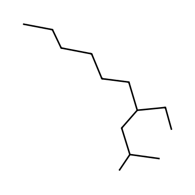 CCCCCCC(CC)CC(C)C